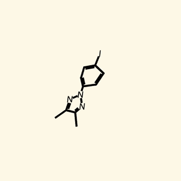 Cc1nn(-c2ccc(I)cc2)nc1C